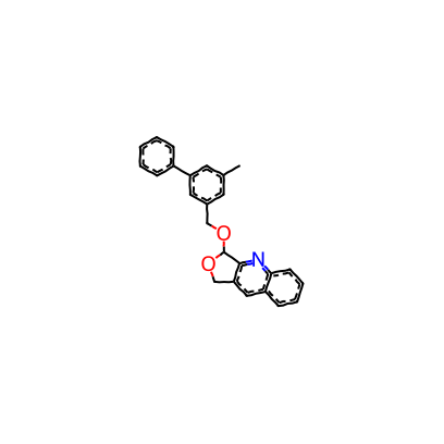 Cc1cc(COC2OCc3cc4ccccc4nc32)cc(-c2ccccc2)c1